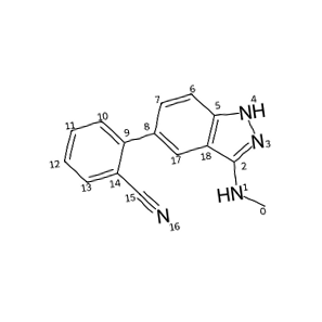 CNc1n[nH]c2ccc(-c3ccccc3C#N)cc12